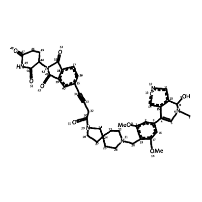 COc1cc(C2=CN(C)C(O)c3cnccc32)cc(OC)c1CN1CCC2(CC1)CCN(C(=O)CC#Cc1ccc3c(c1)C(=O)N(C1CCC(=O)NC1=O)C3=O)C2